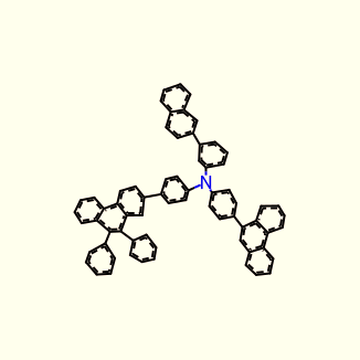 c1ccc(-c2c(-c3ccccc3)c3cc(-c4ccc(N(c5ccc(-c6cc7ccccc7c7ccccc67)cc5)c5cccc(-c6ccc7ccccc7c6)c5)cc4)ccc3c3ccccc23)cc1